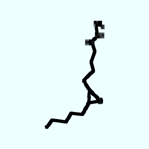 CCCCCC1OC1CCCCNNN